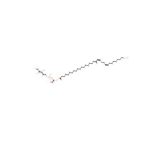 CCCCCCCCCCCCCCCCC/C=C\CC/C=C\C(=O)CCCCCCCCCCCCCCCCCC(=O)OC[C@H](CO)OP(=O)(O)OC[C@@H](O)[C@@H](O)[C@H](O)CO